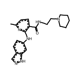 Cc1ccc(C(=O)NCCN2CCCCC2)c(Nc2ccc3cn[nH]c3c2)n1